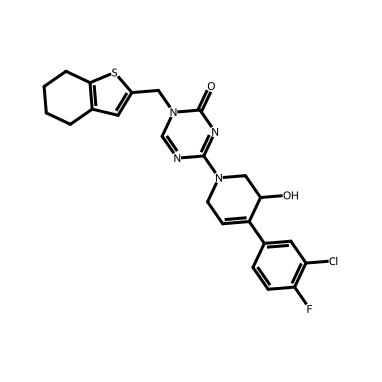 O=c1nc(N2CC=C(c3ccc(F)c(Cl)c3)C(O)C2)ncn1Cc1cc2c(s1)CCCC2